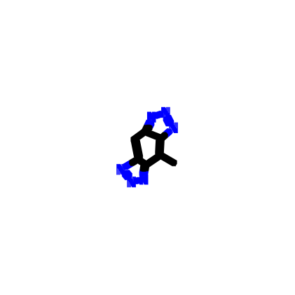 Cc1c2c(cc3c1=NN=N3)=NN=N2